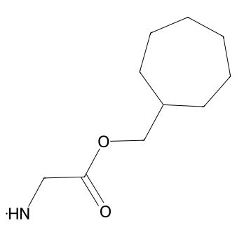 [NH]CC(=O)OCC1CCCCCC1